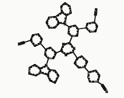 N#Cc1ccc(-c2ccc(-c3nc(-c4cc(-c5cccc(C#N)c5)cc(-n5c6ccccc6c6ccccc65)c4)nc(-c4cc(-c5cccc(C#N)c5)cc(-n5c6ccccc6c6ccccc65)c4)n3)cc2)cc1